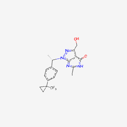 Cc1nc2c(c(CO)nn2[C@@H](C)c2ccc(C3(C(F)(F)F)CC3)cc2)c(=O)[nH]1